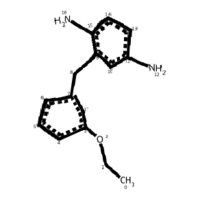 CCOc1cccc(Cc2cc(N)ccc2N)c1